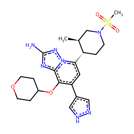 C[C@H]1CN(S(C)(=O)=O)CC[C@@H]1c1cc(-c2cn[nH]c2)c(OC2CCOCC2)c2nc(N)nn12